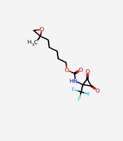 CC1(CCCCCOC(=O)NC2(C(F)(F)F)C(=O)C2=O)CO1